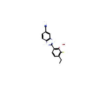 CCc1ccc(-c2nc3cc(C#N)ccc3[nH]2)c(OC)c1S